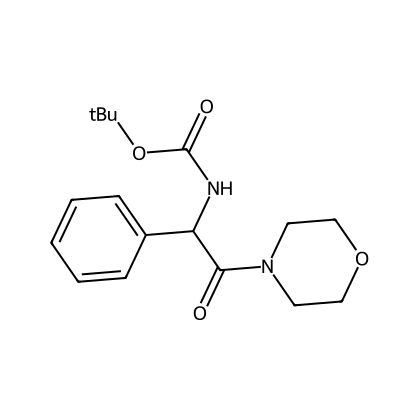 CC(C)(C)OC(=O)NC(C(=O)N1CCOCC1)c1ccccc1